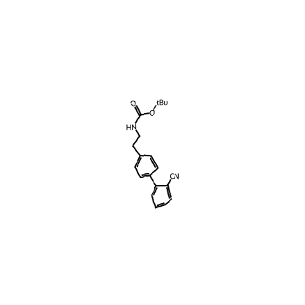 CC(C)(C)OC(=O)NCCc1ccc(-c2ccccc2C#N)cc1